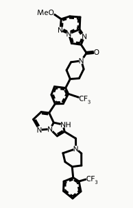 COc1ccc2nc(C(=O)N3CCC(c4ccc(C5=CC=NN6C=C(CN7CCC(c8ccccc8C(F)(F)F)CC7)NC56)cc4C(F)(F)F)CC3)cn2n1